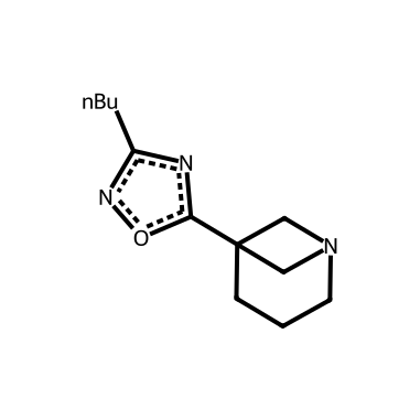 CCCCc1noc(C23CCCN(C2)C3)n1